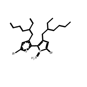 CCCCC(CC)CC1=C(c2sc(Br)cc2CC(CC)CCCC)S(=[SiH2])C(Br)=C1